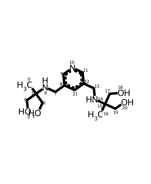 CC(CO)(CO)NCc1cncc(CNC(C)(CO)CO)c1